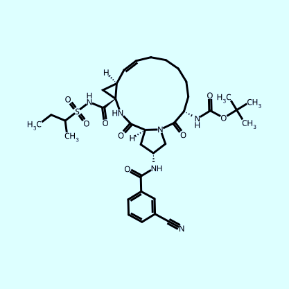 CCC(C)S(=O)(=O)NC(=O)[C@@]12C[C@H]1/C=C\CCCCC[C@H](NC(=O)OC(C)(C)C)C(=O)N1C[C@H](NC(=O)c3cccc(C#N)c3)C[C@H]1C(=O)N2